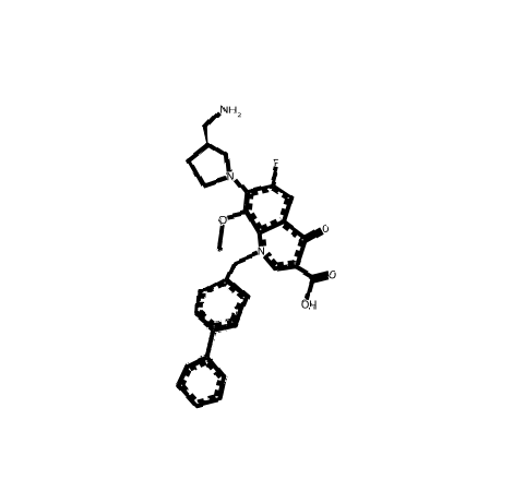 COc1c(N2CC[C@@H](CN)C2)c(F)cc2c(=O)c(C(=O)O)cn(Cc3ccc(-c4ccccc4)cc3)c12